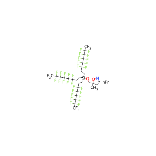 CCCC1=NOC(C)(CO[Si](CCC(F)(F)C(F)(F)C(F)(F)C(F)(F)C(F)(F)C(F)(F)F)(CCC(F)(F)C(F)(F)C(F)(F)C(F)(F)C(F)(F)C(F)(F)F)CCC(F)(F)C(F)(F)C(F)(F)C(F)(F)C(F)(F)C(F)(F)F)C1